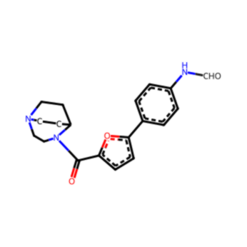 O=CNc1ccc(-c2ccc(C(=O)N3CCN4CCC3CC4)o2)cc1